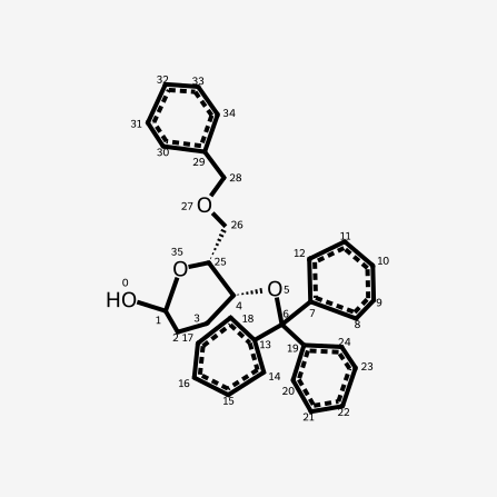 OC1CC[C@@H](OC(c2ccccc2)(c2ccccc2)c2ccccc2)[C@@H](COCc2ccccc2)O1